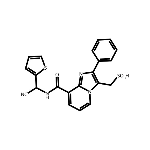 N#CC(NC(=O)c1cccn2c(CS(=O)(=O)O)c(-c3ccccc3)nc12)c1cccs1